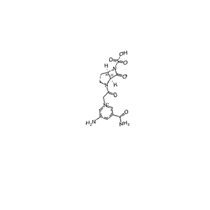 NC(=O)c1cc(N)c[n+](CC(=O)N2CC[C@@H]3[C@H]2C(=O)N3S(=O)(=O)O)c1